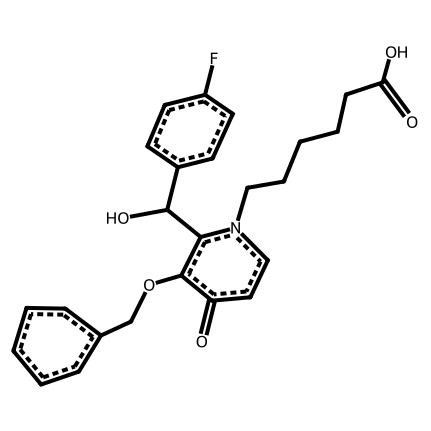 O=C(O)CCCCCn1ccc(=O)c(OCc2ccccc2)c1C(O)c1ccc(F)cc1